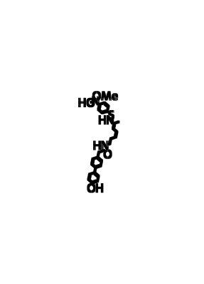 CON(O)c1ccc(SN/C(C)=C/C=C\CCNC(=O)Cc2ccc(-c3ccc(O)cc3)cc2)cc1